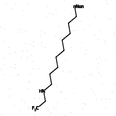 CCCCCCCCCCCCCCCCCCNCC(F)(F)F